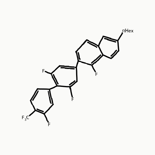 CCCCCCc1ccc2c(F)c(-c3cc(F)c(-c4ccc(C(F)(F)F)c(F)c4)c(F)c3)ccc2c1